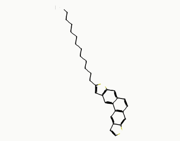 CCCCCCCCCCCCCc1cc2cc3c(ccc4cc5sccc5cc43)cc2s1